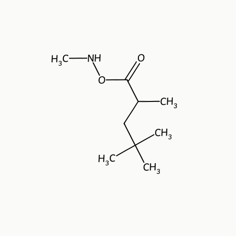 CNOC(=O)C(C)CC(C)(C)C